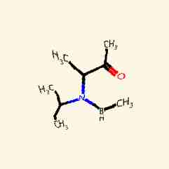 CBN(C(C)C)C(C)C(C)=O